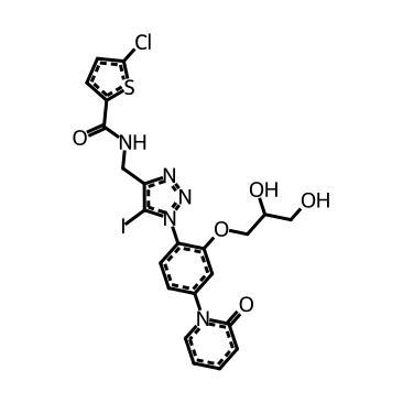 O=C(NCc1nnn(-c2ccc(-n3ccccc3=O)cc2OCC(O)CO)c1I)c1ccc(Cl)s1